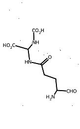 NC(C=O)CCC(=O)NC(NC(=O)O)C(=O)O